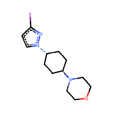 Ic1ccn([C@H]2CC[C@H](N3CCOCC3)CC2)n1